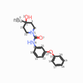 CCCCC1(O)CCN(C(=O)Nc2cccc(Oc3ccccc3)c2)CC1